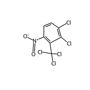 O=[N+]([O-])c1ccc(Cl)c(Cl)c1C(Cl)(Cl)Cl